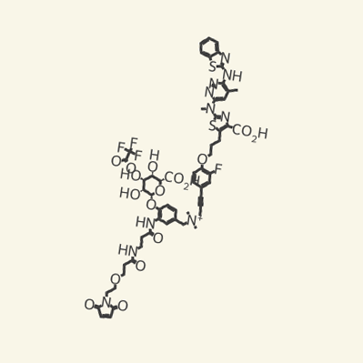 Cc1cc(N(C)c2nc(C(=O)O)c(CCCOc3ccc(C#CC[N+](C)(C)Cc4ccc(O[C@@H]5O[C@H](C(=O)O)[C@@H](O)[C@H](O)[C@H]5O)c(NC(=O)CCNC(=O)CCOCCN5C(=O)C=CC5=O)c4)cc3F)s2)nnc1Nc1nc2ccccc2s1.O=C([O-])C(F)(F)F